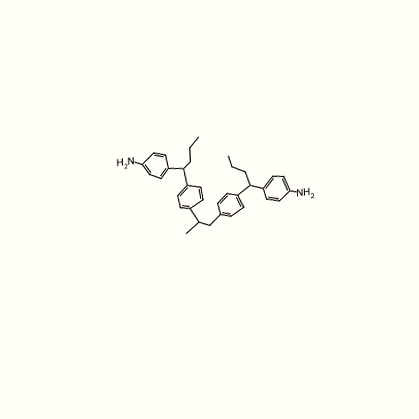 CCCC(c1ccc(N)cc1)c1ccc(CC(C)c2ccc(C(CCC)c3ccc(N)cc3)cc2)cc1